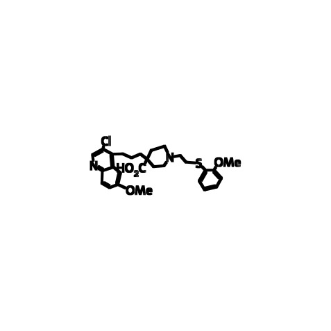 COc1ccc2ncc(Cl)c(CCCC3(C(=O)O)CCN(CCSc4ccccc4OC)CC3)c2c1